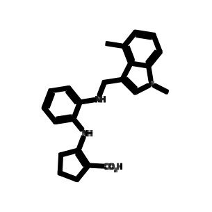 Cc1cccc2c1c(CNc1ccccc1NC1=C(C(=O)O)CCC1)cn2C